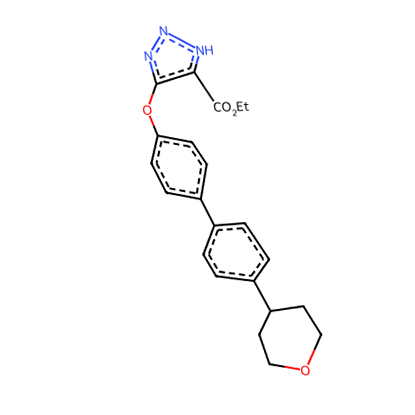 CCOC(=O)c1[nH]nnc1Oc1ccc(-c2ccc(C3CCOCC3)cc2)cc1